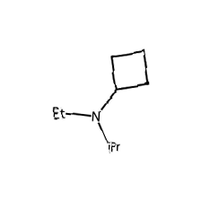 CCN(C(C)C)C1CCC1